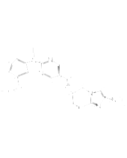 CCN(c1cccc(OC(F)(F)F)c1)c1ncc(CO[C@@H]2COc3nc([N+](=O)[O-])cn3C2)cn1